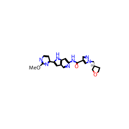 COc1nccc(-c2cc3cnc(NC(=O)c4cnn(C[C@@H]5CCOC5)c4)cc3[nH]2)n1